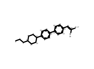 CCCC1CCC(c2ccc(-c3ccc(C=C(F)F)cc3)cc2)CC1